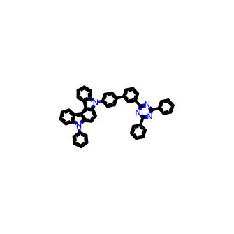 c1ccc(-c2nc(-c3ccccc3)nc(-c3cccc(-c4ccc(-n5c6ccccc6c6c7c8ccccc8n(-c8ccccc8)c7ccc65)cc4)c3)n2)cc1